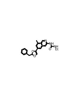 CCNC(=O)Nc1cc2cc(C3=COC(Cc4ccccc4)O3)cc(C)c2cn1